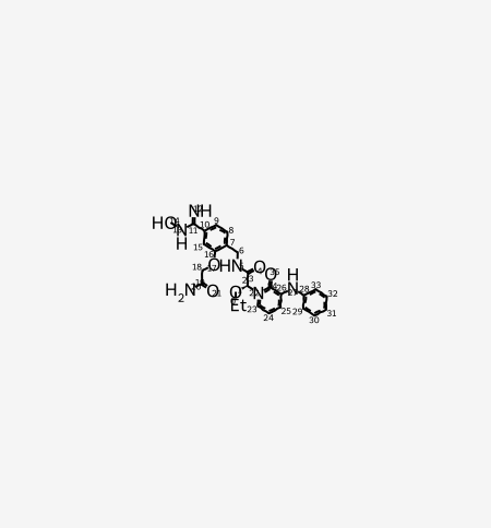 CCO[C@@H](C(=O)NCc1ccc(C(=N)NO)cc1OCC(N)=O)n1cccc(Nc2ccccc2)c1=O